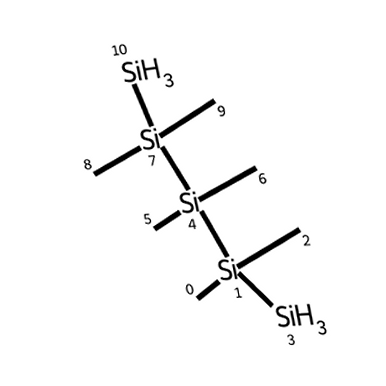 C[Si](C)([SiH3])[Si](C)(C)[Si](C)(C)[SiH3]